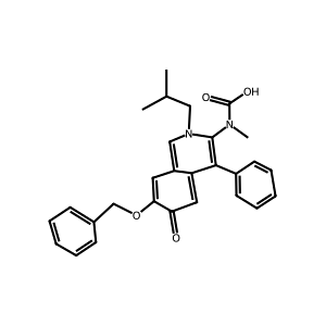 CC(C)Cn1cc2cc(OCc3ccccc3)c(=O)cc-2c(-c2ccccc2)c1N(C)C(=O)O